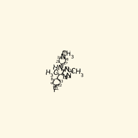 Cc1nnc([C@@H](C)c2ccc(F)cc2)c(NC2CCN(C)CC2)n1